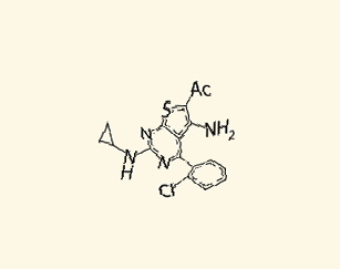 CC(=O)c1sc2nc(NC3CC3)nc(-c3ccccc3Cl)c2c1N